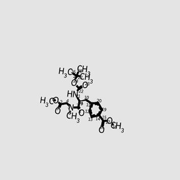 COC(=O)CN(C)C(=O)[C@H](Cc1ccc(C(=O)OC)cc1)NC(=O)OC(C)(C)C